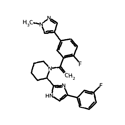 C=C(c1cc(-c2cnn(C)c2)ccc1F)N1CCCCC1c1nc(-c2cccc(F)c2)c[nH]1